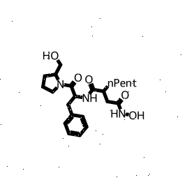 CCCCCC(CC(=O)NO)C(=O)NC(Cc1ccccc1)C(=O)N1CCCC1CO